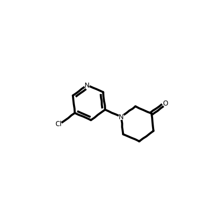 O=C1CCCN(c2cncc(Cl)c2)C1